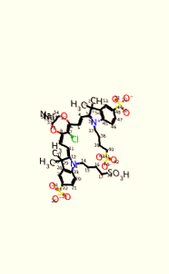 CC1(C)C(/C=C/C2=C(Cl)C(=C\C=C3\N(CCCCS(=O)(=O)O)c4ccc(S(=O)(=O)[O-])cc4C3(C)C)/OCCO2)=[N+](CCCCS(=O)(=O)[O-])c2ccc(S(=O)(=O)[O-])cc21.[Na+].[Na+]